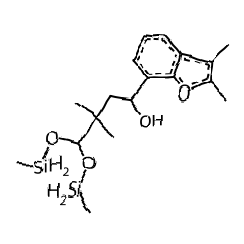 C[SiH2]OC(O[SiH2]C)C(C)(C)CC(O)c1cccc2c(C)c(C)oc12